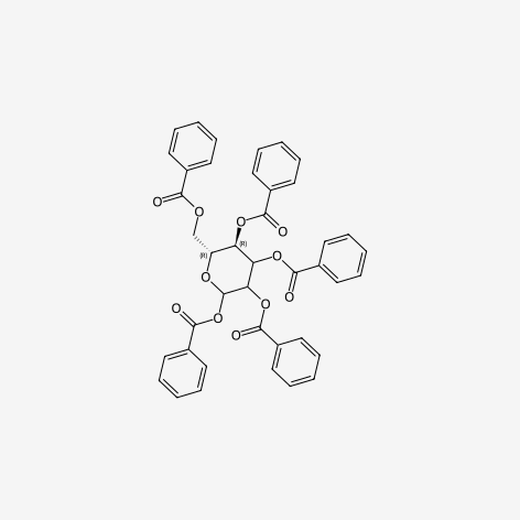 O=C(OC[C@H]1OC(OC(=O)c2ccccc2)C(OC(=O)c2ccccc2)C(OC(=O)c2ccccc2)[C@@H]1OC(=O)c1ccccc1)c1ccccc1